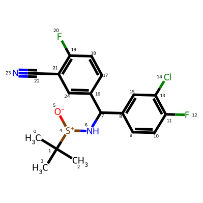 CC(C)(C)[S+]([O-])NC(c1ccc(F)c(Cl)c1)c1ccc(F)c(C#N)c1